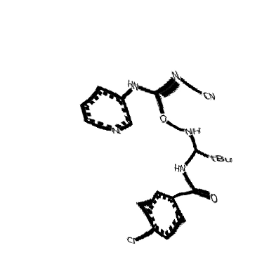 CC(C)(C)C(NOC(=NC#N)Nc1cccnc1)NC(=O)c1ccc(Cl)cc1